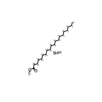 CCCCCCCCCCCCCCCCCCCC(=O)OC.[NaH]